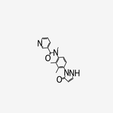 Cc1c(N(C)C(=O)c2cccnc2)ccc(-n2[nH]ccc2=O)c1C